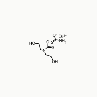 NC([O-])=S.[Cu+2].[O-]C(=S)N(CCO)CCO